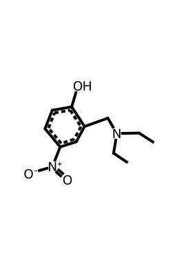 CCN(CC)Cc1cc([N+](=O)[O-])ccc1O